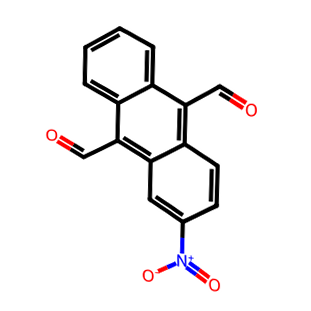 O=Cc1c2ccccc2c(C=O)c2cc([N+](=O)[O-])ccc12